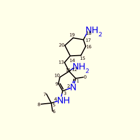 CC1=NC(NC(C)(C)C)=CCC1(N)CC1CCC(N)CC1